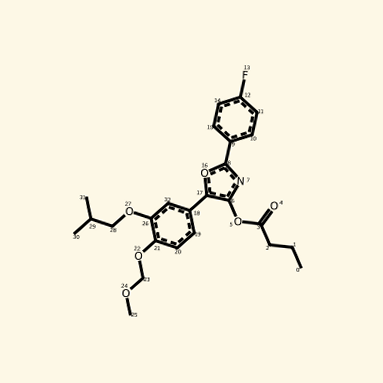 CCCC(=O)Oc1nc(-c2ccc(F)cc2)oc1-c1ccc(OCOC)c(OCC(C)C)c1